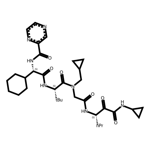 CCC[C@H](NC(=O)CN(CC1CC1)C(=O)[C@@H](NC(=O)[C@@H](NC(=O)c1cnccn1)C1CCCCC1)C(C)(C)C)C(=O)C(=O)NC1CC1